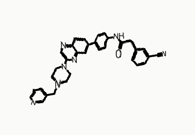 N#Cc1cccc(CC(=O)Nc2ccc(-c3ccc4ncc(N5CCN(Cc6cccnc6)CC5)nc4c3)cc2)c1